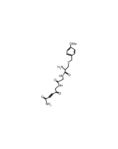 COc1ccc(CSCC(N)C(=O)NCC(=O)NCC(=O)C#CC(N)=O)cc1